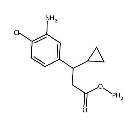 Nc1cc(C(CC(=O)OP)C2CC2)ccc1Cl